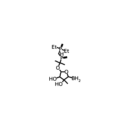 BC1OC(OC(C)(C)[PH](=C)CP(=C)(CC)CC)C(O)C1(C)O